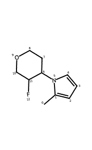 Cc1cccn1C1CCOCC1F